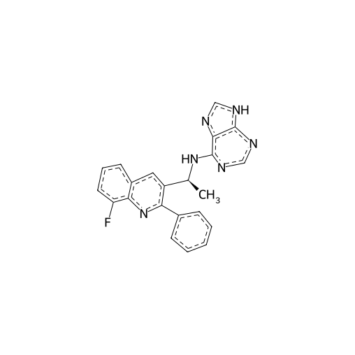 C[C@H](Nc1ncnc2[nH]cnc12)c1cc2cccc(F)c2nc1-c1ccccc1